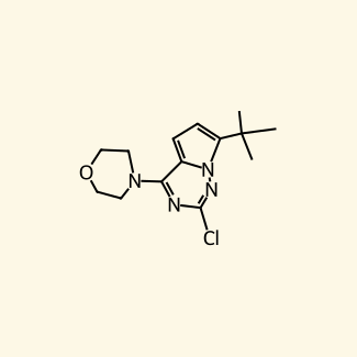 CC(C)(C)c1ccc2c(N3CCOCC3)nc(Cl)nn12